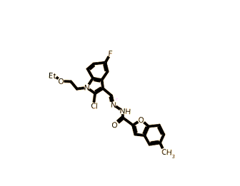 CCOCCn1c(Cl)c(/C=N/NC(=O)c2cc3cc(C)ccc3o2)c2cc(F)ccc21